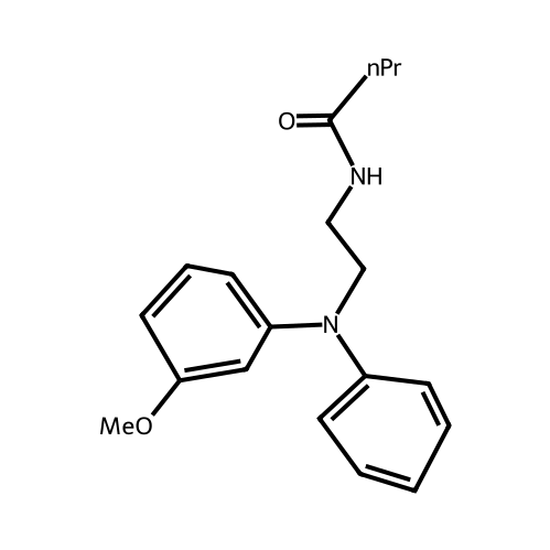 CCCC(=O)NCCN(c1ccccc1)c1cccc(OC)c1